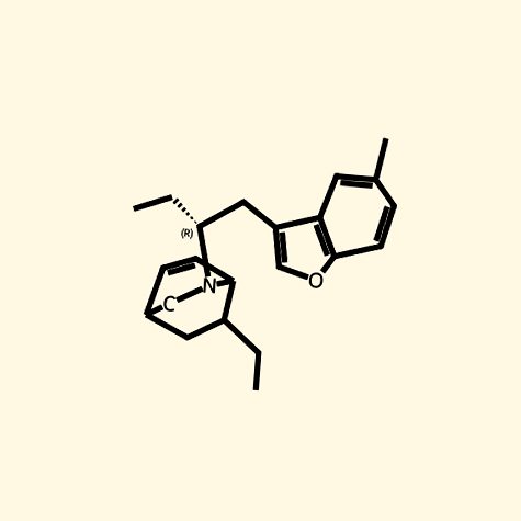 CCC1CC2C=CC1N([C@H](CC)Cc1coc3ccc(C)cc13)C2